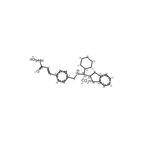 O=C(C=Cc1ccc(CN[C@@](C(=O)O)(C2CCCCC2)C2Cc3ccccc3C2)cc1)NO